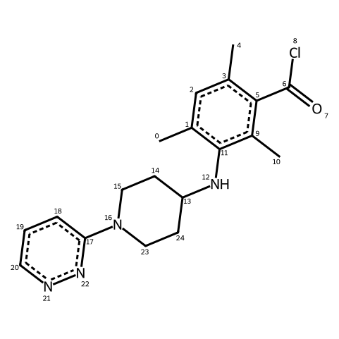 Cc1cc(C)c(C(=O)Cl)c(C)c1NC1CCN(c2cccnn2)CC1